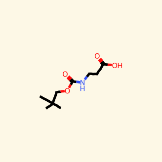 CC(C)(C)COC(=O)NCCC(=O)O